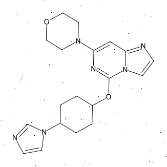 c1cn(C2CCC(Oc3nc(N4CCOCC4)cc4nccn34)CC2)cn1